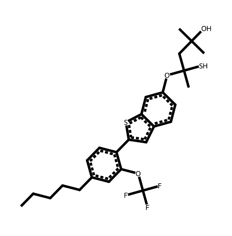 CCCCCc1ccc(-c2cc3ccc(OC(C)(S)CC(C)(C)O)cc3s2)c(OC(F)(F)F)c1